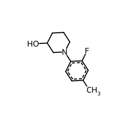 Cc1ccc(N2CCCC(O)C2)c(F)c1